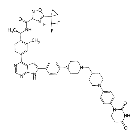 Cc1cc(-c2ncnc3[nH]c(-c4ccc(N5CCN(CC6CCN(c7ccc(N8CCC(=O)NC8=O)cc7)CC6)CC5)cc4)cc23)ccc1[C@@H](C)NC(=O)c1noc(C2(C(F)(F)F)CC2)n1